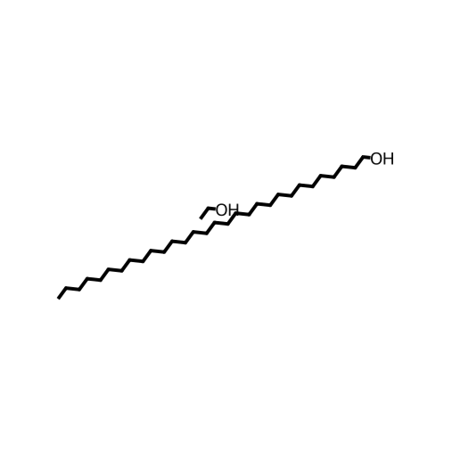 CCCCCCCCCCCCCCCCCCCCCCCCCCCCCCO.CCO